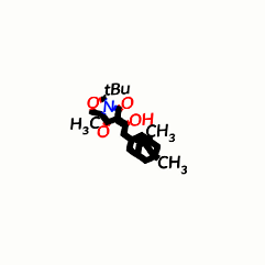 CC12CC3CC(C)(C1)CC(C/C(O)=C1/C(=O)N4[C@@H](C(C)(C)C)OC[C@]4(C)C1=O)(C3)C2